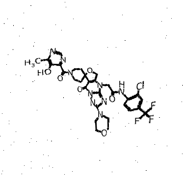 Cc1ncnc(C(=O)N2CCC3(CC2)OCc2c3c(=O)n3nc(N4CCOCC4)nc3n2CC(=O)Nc2ccc(C(F)(F)F)cc2Cl)c1O